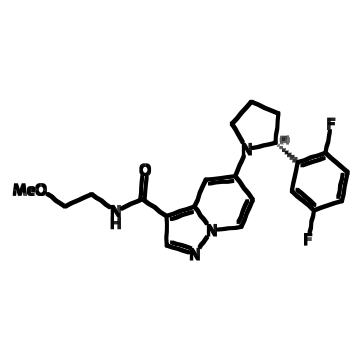 COCCNC(=O)c1cnn2ccc(N3CCC[C@@H]3c3cc(F)ccc3F)cc12